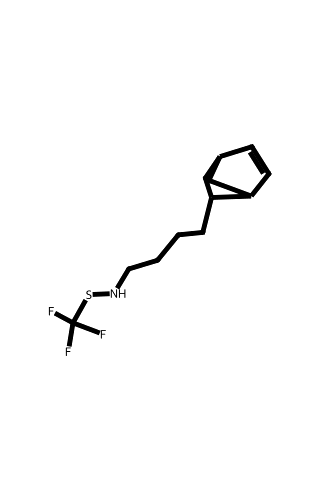 FC(F)(F)SNCCCCC1CC2C=CC1C2